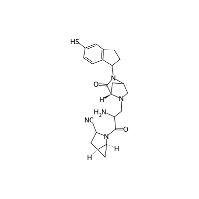 N#CC1C[C@@H]2C[C@@H]2N1C(=O)C(N)CN1CC2C[C@H]1C(=O)N2C1CCc2cc(S)ccc21